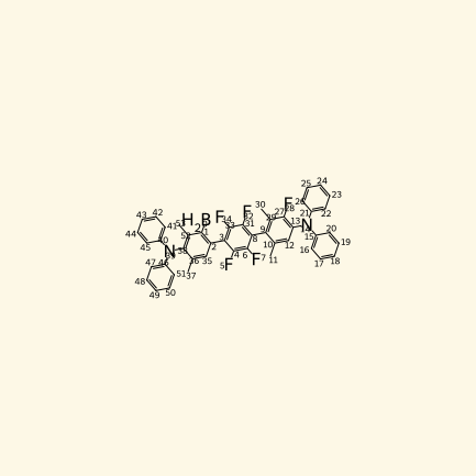 Bc1c(-c2c(F)c(F)c(-c3c(C)cc(N(c4ccccc4)c4ccccc4)c(F)c3C)c(F)c2F)cc(C)c(N(c2ccccc2)c2ccccc2)c1C